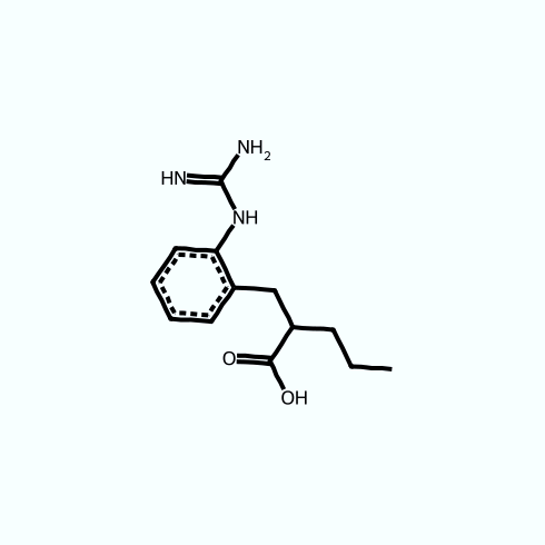 CCCC(Cc1ccccc1NC(=N)N)C(=O)O